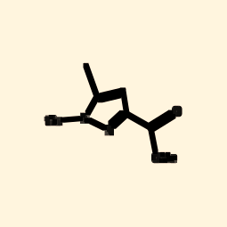 COC(=O)c1cc(C)n(C(C)(C)C)n1